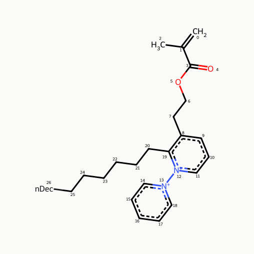 C=C(C)C(=O)OCCc1ccc[n+](-[n+]2ccccc2)c1CCCCCCCCCCCCCCCC